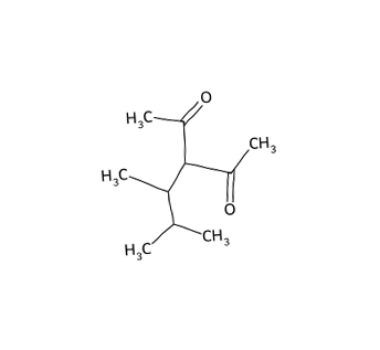 CC(=O)C(C(C)=O)C(C)C(C)C